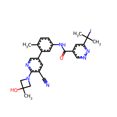 Cc1ccc(NC(=O)c2cnnc(C(C)(C)I)c2)cc1-c1cnc(N2CC(C)(O)C2)c(C#N)c1